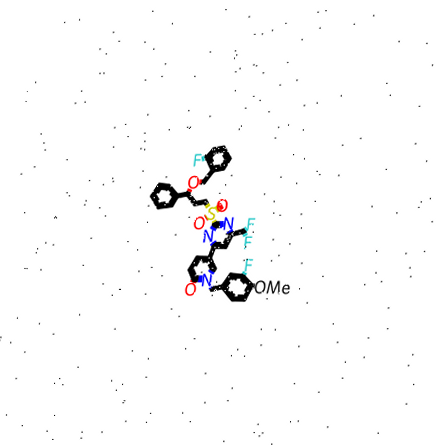 COc1ccc(Cn2cc(-c3cc(C(F)F)nc(S(=O)(=O)CCC(OCc4ccccc4F)c4ccccc4)n3)ccc2=O)cc1F